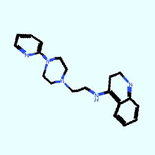 c1ccc(N2CCN(CCNC3=c4ccccc4=NCC3)CC2)nc1